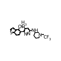 Cc1cc(N[C@@H]2CCCN(CC(F)(F)F)C2)nnc1-c1ccc2sccc2c1O